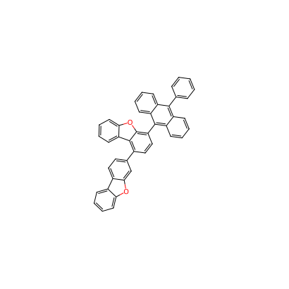 c1ccc(-c2c3ccccc3c(-c3ccc(-c4ccc5c(c4)oc4ccccc45)c4c3oc3ccccc34)c3ccccc23)cc1